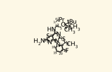 CC(C)C[C@H](CO[Si](C)(C)C(C)(C)C)Nc1nc(SC(C)c2ncccc2F)nc2nc(N)sc12